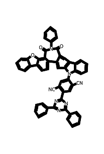 N#Cc1cc(-n2c3ccccc3c3cc4c(=O)n(-c5ccccc5)c(=O)c5c(ccc6c7ccccc7oc65)c4cc32)c(C#N)cc1-c1nc(-c2ccccc2)nc(-c2ccccc2)n1